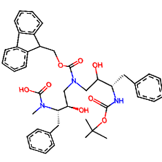 CN(C(=O)O)[C@@H](Cc1ccccc1)[C@H](O)CN(CC(O)[C@H](Cc1ccccc1)NC(=O)OC(C)(C)C)C(=O)OCC1c2ccccc2-c2ccccc21